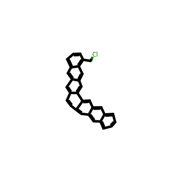 Cl[CH]c1cccc2cc3cc4ccc5cc6cc7ccccc7cc6cc5c4cc3cc12